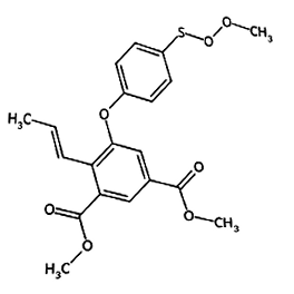 C/C=C/c1c(Oc2ccc(SOOC)cc2)cc(C(=O)OC)cc1C(=O)OC